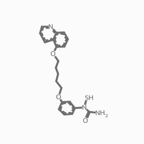 NC(=O)N(S)c1cccc(OCCCCCOc2cccc3ncccc23)c1